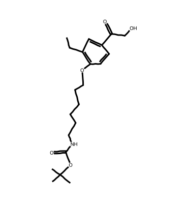 CCc1cc(C(=O)CO)ccc1OCCCCCCNC(=O)OC(C)(C)C